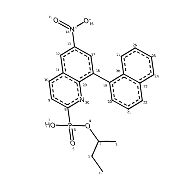 CCC(C)OP(=O)(O)c1ccc2cc([N+](=O)[O-])cc(-c3cccc4ccccc34)c2n1